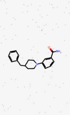 NC(=O)c1cccc(N2CCC(Cc3ccccc3)CC2)c1